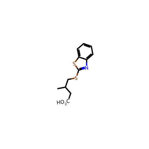 CC(CSc1nc2ccccc2s1)CC(=O)O